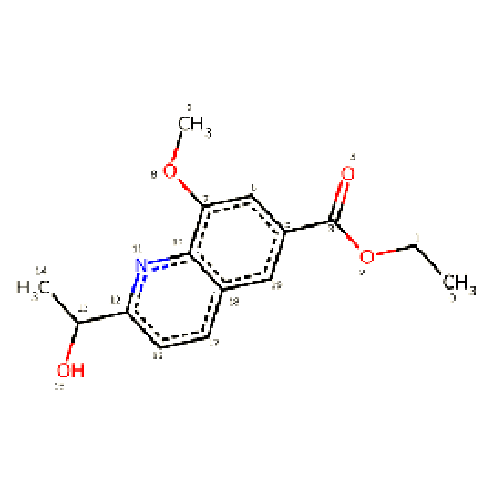 CCOC(=O)c1cc(OC)c2nc(C(C)O)ccc2c1